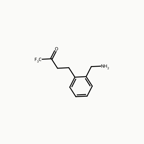 NCc1ccccc1CCC(=O)C(F)(F)F